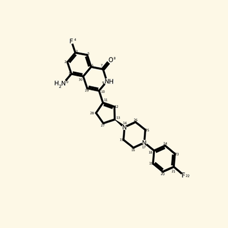 Nc1cc(F)cc2c(=O)[nH]c(C3=C[C@@H](N4CCN(c5ccc(F)cc5)CC4)CC3)cc12